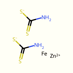 NC(=S)[S-].NC(=S)[S-].[Fe].[Zn+2]